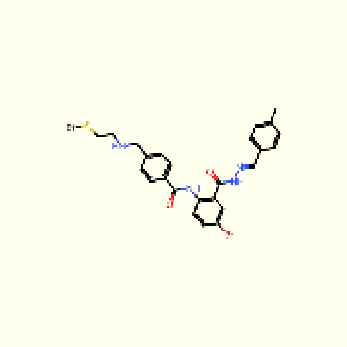 CCSCCNCc1ccc(C(=O)Nc2ccc(Br)cc2C(=O)NN=Cc2ccc(C)cc2)cc1